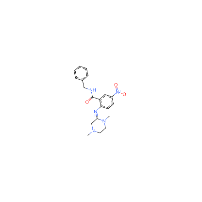 CN1CCN(C)/C(=N\c2ccc([N+](=O)[O-])cc2C(=O)NCc2ccccc2)C1